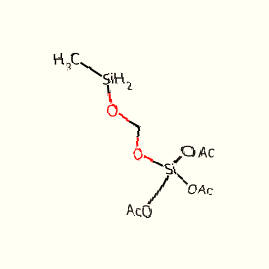 C[SiH2]OCO[Si](OC(C)=O)(OC(C)=O)OC(C)=O